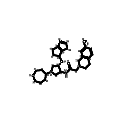 O=C(CN1CCc2ccc(C(F)(F)F)cc2C1)NC1CN(C2CCCOCC2)C[C@@H]1OC1CCc2ncsc21